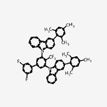 Cc1cc(C)c(-c2ccc3c(c2)c2ccccc2n3-c2cc(-c3cc(F)cc(F)c3)cc(-n3c4ccccc4c4cc(-c5c(C)cc(C)cc5C)ccc43)c2C(F)(F)F)c(C)c1